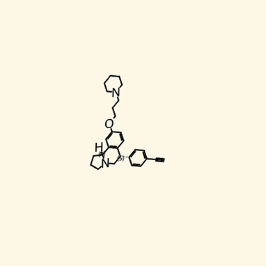 C#Cc1ccc([C@@H]2CN3CCC[C@@H]3c3cc(OCCCN4CCCCC4)ccc32)cc1